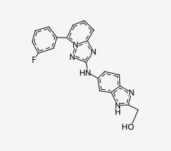 OCc1nc2ccc(Nc3nc4cccc(-c5cccc(F)c5)n4n3)cc2[nH]1